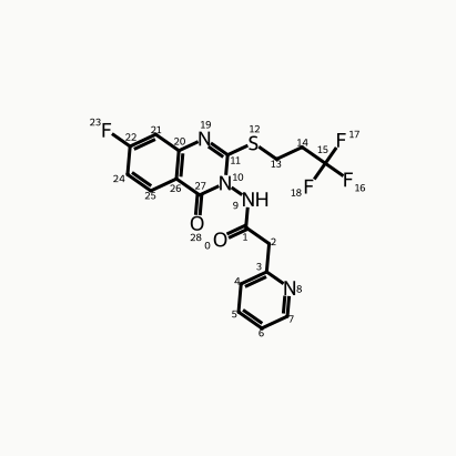 O=C(Cc1ccccn1)Nn1c(SCCC(F)(F)F)nc2cc(F)ccc2c1=O